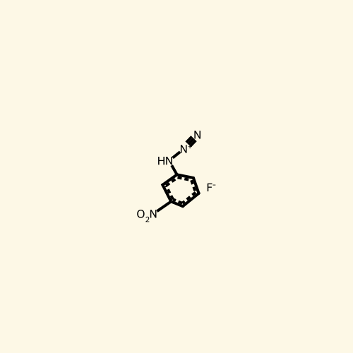 N#[N+]Nc1cccc([N+](=O)[O-])c1.[F-]